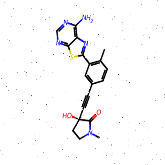 Cc1ccc(C#C[C@@]2(O)CCN(C)C2=O)cc1-c1nc2c(N)ncnc2s1